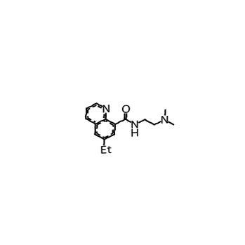 CCc1cc(C(=O)NCCN(C)C)c2ncccc2c1